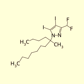 CCCCCCCC(C)(CCCC)n1nc(C(F)F)c(I)c1I